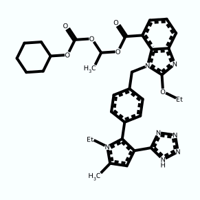 CCOc1nc2cccc(C(=O)OC(C)OC(=O)OC3CCCCC3)c2n1Cc1ccc(-c2c(-c3nnn[nH]3)cc(C)n2CC)cc1